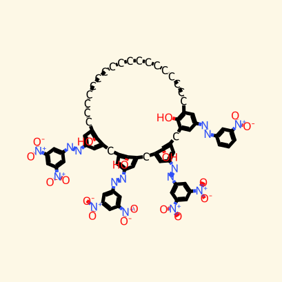 O=[N+]([O-])c1cccc(N=Nc2cc3c(O)c(c2)Cc2cc(N=Nc4cc([N+](=O)[O-])cc([N+](=O)[O-])c4)cc(c2O)Cc2cc(N=Nc4cc([N+](=O)[O-])cc([N+](=O)[O-])c4)cc(c2O)Cc2cc(N=Nc4cc([N+](=O)[O-])cc([N+](=O)[O-])c4)cc(c2O)CCCCCCCCCCCCCCCCCC3)c1